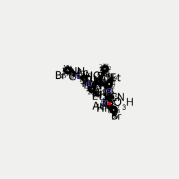 [C-]#[N+]c1cc(/C=C(\C(C)=O)C(=O)Nc2cccc(Br)c2)sc1/N=N/c1ccc(N(CC)CC)cc1Nc1nc(Nc2cc(N(CC)CC)ccc2/N=N/c2sc(/C=C(/C(C)=O)C(=O)Nc3cccc(Br)c3)c(S(=O)(=O)O)c2C#N)nc(SCc2ccccc2)n1